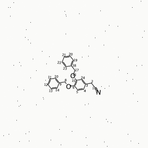 N#CCc1ccc(OCc2ccccc2)c(OCc2ccccc2)c1